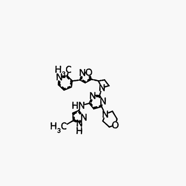 Cc1cc(Nc2cc(N3CCOCC3)nc(N3CCC3c3cc(-c4cccnc4C)no3)n2)n[nH]1